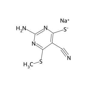 CSc1nc(N)nc([S-])c1C#N.[Na+]